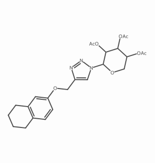 CC(=O)OC1COC(n2cc(COc3ccc4c(c3)CCCC4)nn2)C(OC(C)=O)C1OC(C)=O